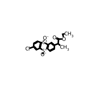 CCOC(=O)C(C)c1ccc2c(c1)[S+]([O-])c1ccc(Cl)cc1[S+]2[O-]